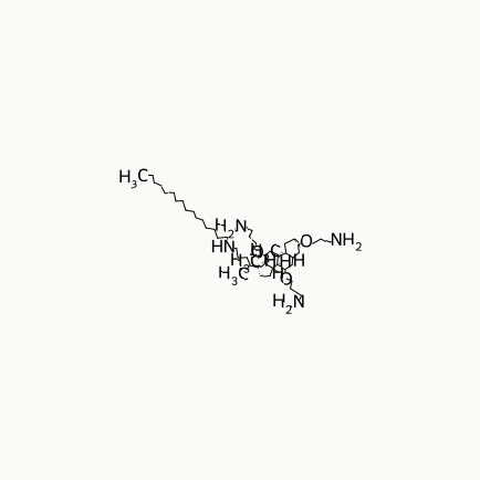 CCCCCCCCCCCCCCCCNCCC[C@@H](C)[C@H]1CC[C@H]2[C@@H]3[C@H](OCCCN)C[C@@H]4C[C@H](OCCCN)CC[C@]4(C)[C@H]3C[C@H](OCCCN)[C@]12C